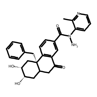 Cc1ncccc1N(N)C(=O)c1ccc2c(c1)C(=O)CC1C[C@H](O)[C@H](O)C[C@@]21Cc1ccccc1